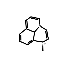 C[C@@H]1C=CN2C=CC=C3C=CC=C1C32